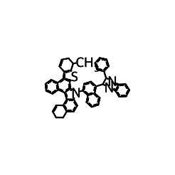 CC1CC=Cc2c1sc1c2c2ccccc2c2c3c4c(ccc3n(-c3ccc(C5C(c6ccccc6)n6c7ccccc7n65)c5ccccc35)c12)CCC=C4